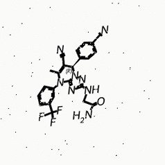 CC1=C(C#N)[C@@H](c2ccc(C#N)cc2)n2nc(NCC(N)=O)nc2N1c1cccc(C(F)(F)F)c1